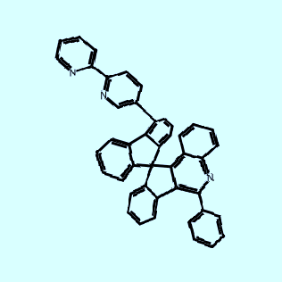 c1ccc(-c2nc3ccccc3c3c2-c2ccccc2C32c3ccccc3-c3c(-c4ccc(-c5ccccn5)nc4)cccc32)cc1